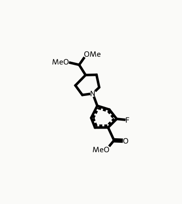 COC(=O)c1ccc(N2CCC(C(OC)OC)CC2)cc1F